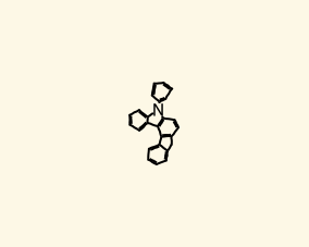 c1ccc(-n2c3ccccc3c3c4c(ccc32)Cc2ccccc2-4)cc1